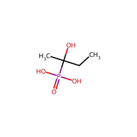 CCC(C)(O)P(=O)(O)O